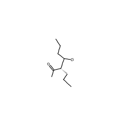 CCCC(Cl)[C@H](CCC)C(C)=O